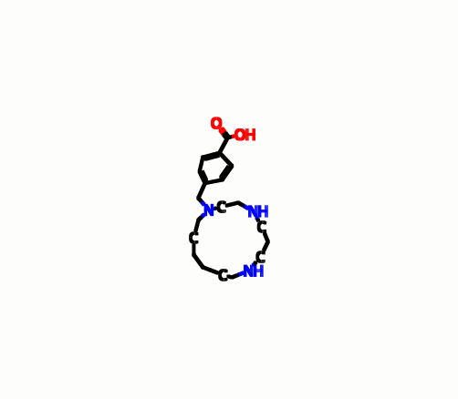 O=C(O)c1ccc(CN2CCCCCCNCCCNCC2)cc1